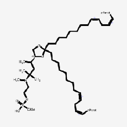 CCCCC/C=C\C/C=C\CCCCCCCCC1(CCCCCCCC/C=C\C/C=C\CCCCC)OC[C@H](C(C)CC(C)(C)N(C)CCOP(=O)(O)OC)O1